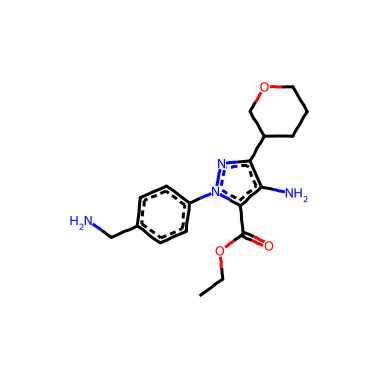 CCOC(=O)c1c(N)c(C2CCCOC2)nn1-c1ccc(CN)cc1